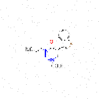 CCOC(=O)NCC(C(=O)NCCC#N)c1csc2ccccc12